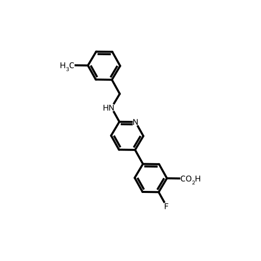 Cc1cccc(CNc2ccc(-c3ccc(F)c(C(=O)O)c3)cn2)c1